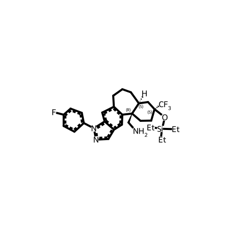 CC[Si](CC)(CC)O[C@@]1(C(F)(F)F)CC[C@]2(CN)c3cc4cnn(-c5ccc(F)cc5)c4cc3CCC[C@H]2C1